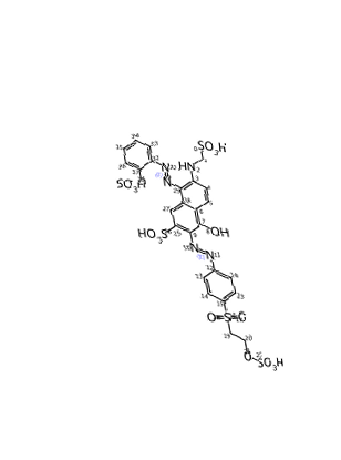 O=S(=O)(O)CNc1ccc2c(O)c(/N=N/c3ccc(S(=O)(=O)CCOS(=O)(=O)O)cc3)c(S(=O)(=O)O)cc2c1/N=N/c1ccccc1S(=O)(=O)O